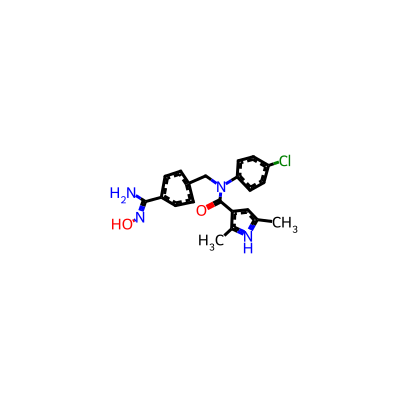 Cc1cc(C(=O)N(Cc2ccc(C(N)=NO)cc2)c2ccc(Cl)cc2)c(C)[nH]1